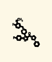 COc1cc(CN2CCC(c3c(C(=O)N4CC[C@H](c5ccccc5)C4)cnn3-c3ccc(F)cc3)CC2)ccc1F